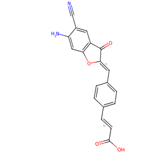 N#Cc1cc2c(cc1N)O/C(=C\c1ccc(/C=C/C(=O)O)cc1)C2=O